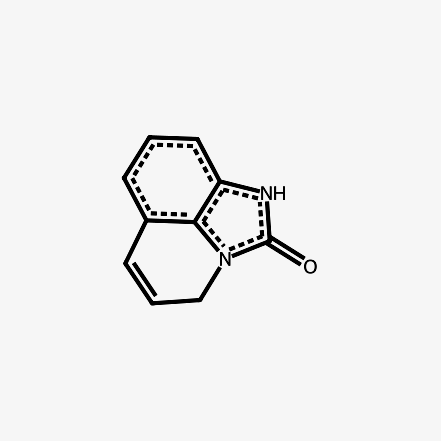 O=c1[nH]c2cccc3c2n1CC=C3